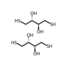 O[C@H](CS)[C@@H](O)CS.O[C@H](CS)[C@@H](O)CS